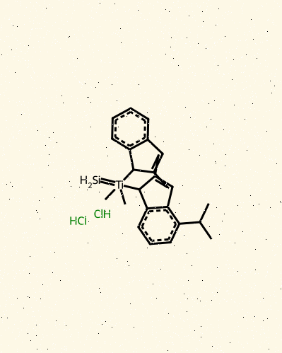 CC1=Cc2ccccc2[CH]1[Ti]([CH3])([CH3])(=[SiH2])[CH]1C(C)=Cc2c(C(C)C)cccc21.Cl.Cl